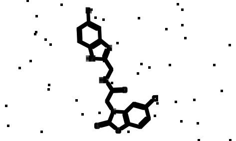 O=C(Cn1c(=O)oc2ccc(Cl)cc21)NCc1nc2cc(Br)ccc2[nH]1